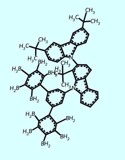 Bc1c(B)c(B)c(-c2cc(-c3c(B)c(B)c(B)c(B)c3B)cc(-n3c4ccccc4c4ccc(-n5c6ccc(C(C)(C)C)cc6c6cc(C(C)(C)C)ccc65)c(C(C)(C)C)c43)c2)c(B)c1B